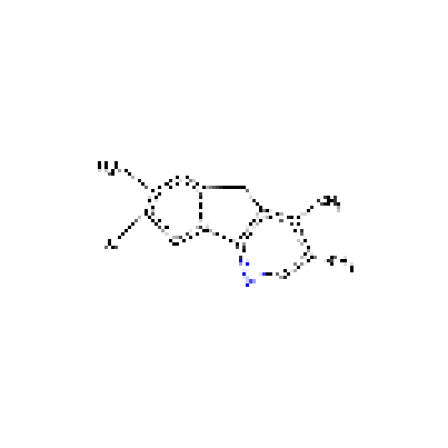 Cc1cc2c(cc1C)-c1ncc(C)c(C)c1C2